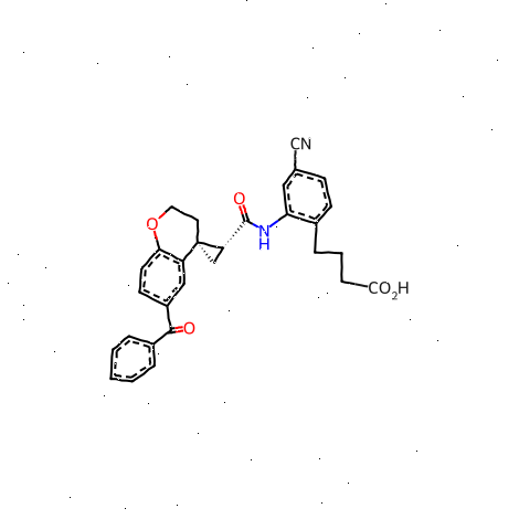 N#Cc1ccc(CCCC(=O)O)c(NC(=O)[C@@H]2C[C@]23CCOc2ccc(C(=O)c4ccccc4)cc23)c1